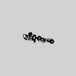 O=C(Cc1ccc(-c2ccc(OC3([C@H]4COCCN4)CCC3)cc2F)cn1)NCc1ccccc1